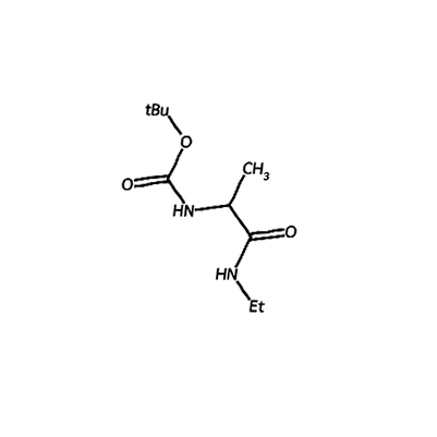 CCNC(=O)C(C)NC(=O)OC(C)(C)C